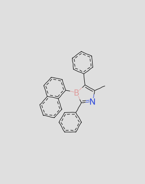 CC1=C(c2ccccc2)B(c2cccc3ccccc23)C(c2ccccc2)=N1